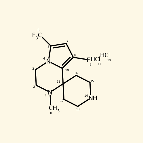 CN1CCn2c(C(F)(F)F)cc(F)c2C12CCNCC2.Cl.Cl